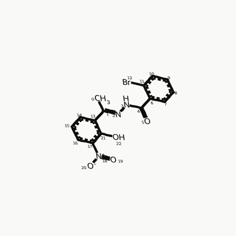 C/C(=N\NC(=O)c1ccccc1Br)c1cccc([N+](=O)[O-])c1O